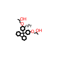 [CH2]CCc1cc(C2(c3ccc(OCC(C)O)cc3)c3ccccc3-c3ccccc32)ccc1OCC(C)O